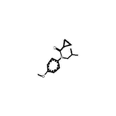 COc1ccc(N(CC(C)C)C(=O)C2CC2)cc1